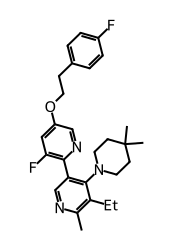 CCc1c(C)ncc(-c2ncc(OCCc3ccc(F)cc3)cc2F)c1N1CCC(C)(C)CC1